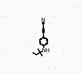 CCC(C)(C)Nc1ccc(C#CC#N)cc1